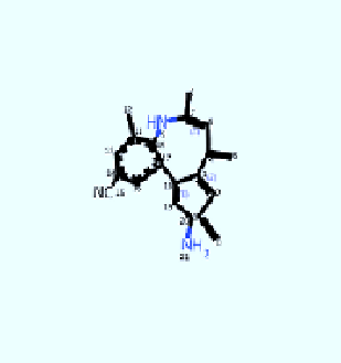 C=C/C=C1/C(=C)/C=C(/C)Nc2c(C)cc(C#N)cc2/C1=C/CN